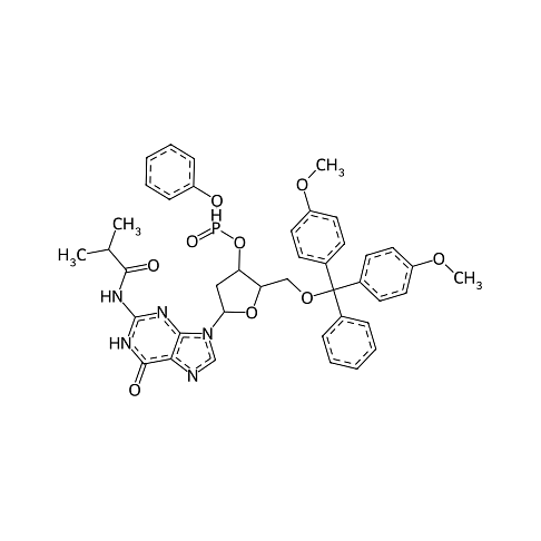 COc1ccc(C(OCC2OC(n3cnc4c(=O)[nH]c(NC(=O)C(C)C)nc43)CC2O[PH](=O)Oc2ccccc2)(c2ccccc2)c2ccc(OC)cc2)cc1